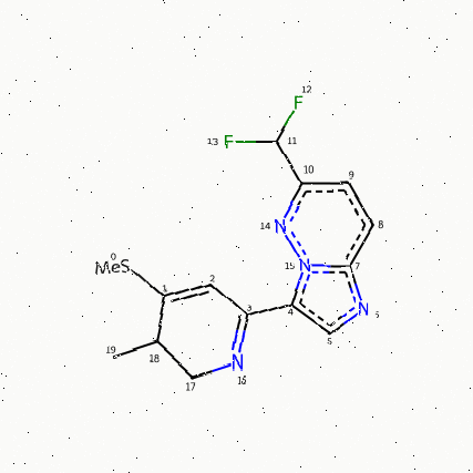 CSC1=CC(c2cnc3ccc(C(F)F)nn23)=NCC1C